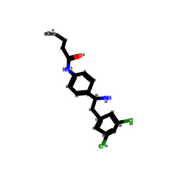 CCCCCCCCCCCCC(=O)Nc1ccc(C([NH])Cc2cc(Cl)cc(Cl)c2)cc1